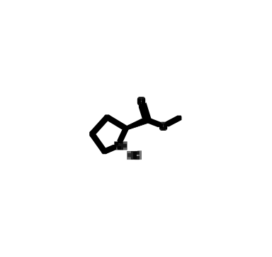 COC(=O)[C@@H]1CCCN1.Cl